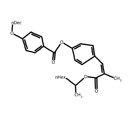 CCCCCCCCCCOc1ccc(C(=O)Oc2ccc(C=C(C)C(=O)OC(C)CCCCCC)cc2)cc1